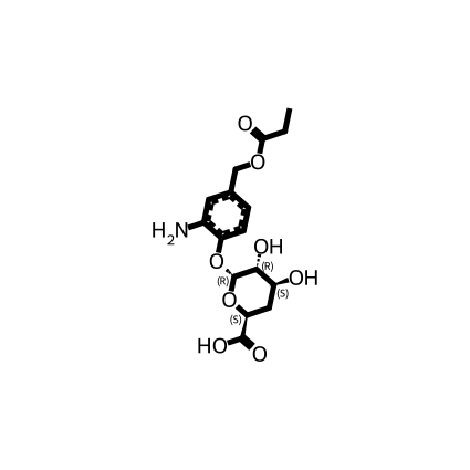 CCC(=O)OCc1ccc(O[C@H]2O[C@H](C(=O)O)C[C@H](O)[C@H]2O)c(N)c1